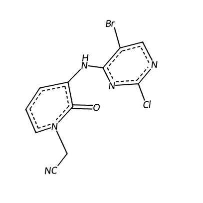 N#CCn1cccc(Nc2nc(Cl)ncc2Br)c1=O